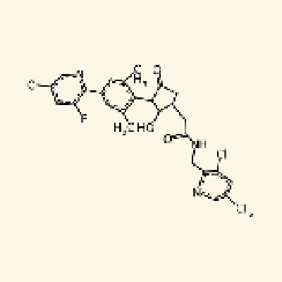 Cc1cc(-c2ncc(Cl)cc2F)cc(C)c1C1C(=O)CC(CC(=O)NCc2ncc(C(F)(F)F)cc2Cl)C1O